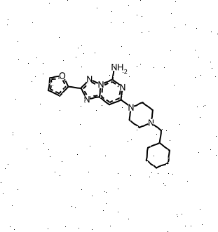 Nc1nc(N2CCN(CC3CCCCC3)CC2)cc2nc(-c3ccco3)nn12